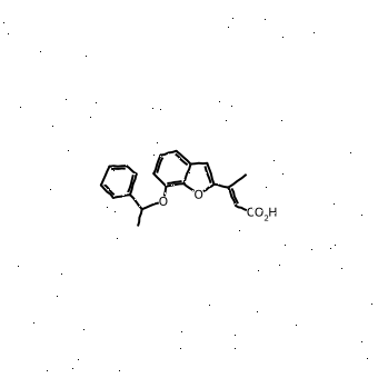 C/C(=C\C(=O)O)c1cc2cccc(OC(C)c3ccccc3)c2o1